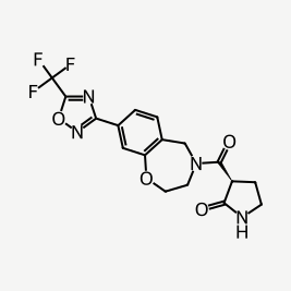 O=C1NCC[C@@H]1C(=O)N1CCOc2cc(-c3noc(C(F)(F)F)n3)ccc2C1